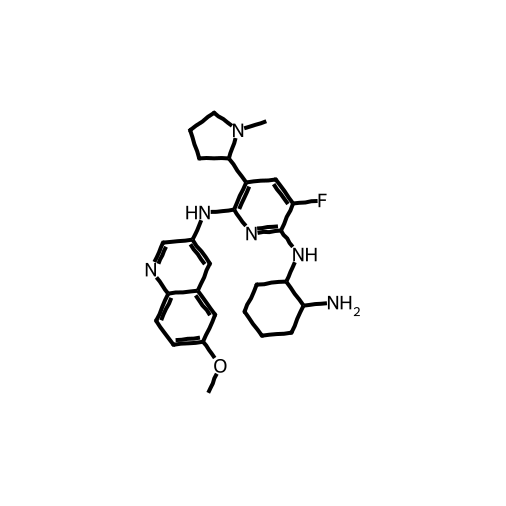 COc1ccc2ncc(Nc3nc(NC4CCCCC4N)c(F)cc3C3CCCN3C)cc2c1